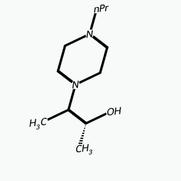 CCCN1CCN(C(C)[C@@H](C)O)CC1